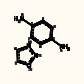 Nc1ccc(N)cc1.c1conn1